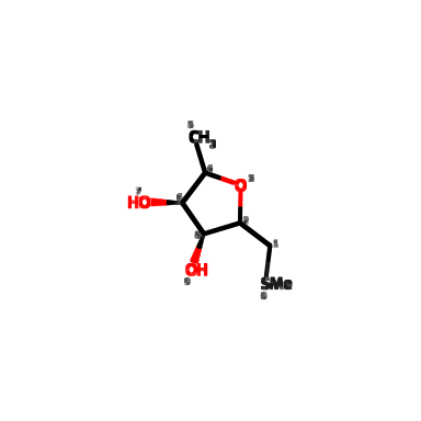 CSCC1OC(C)[C@H](O)[C@@H]1O